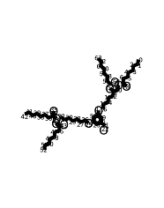 CCCCCCCC(=O)OCC(CCCCCOc1cc(C=O)cc(OCCCCCC(COC(=O)CCCCCCC)OC(=O)CCCCCCC)c1)OC(=O)CCCCCCC